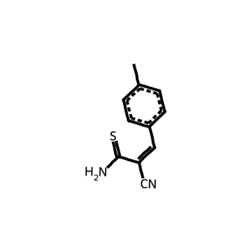 Cc1ccc(C=C(C#N)C(N)=S)cc1